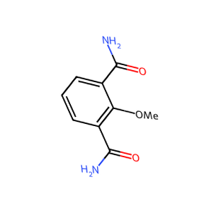 COc1c(C(N)=O)cccc1C(N)=O